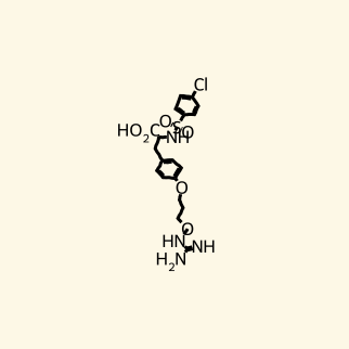 N=C(N)NOCCCOc1ccc(C[C@H](NS(=O)(=O)c2ccc(Cl)cc2)C(=O)O)cc1